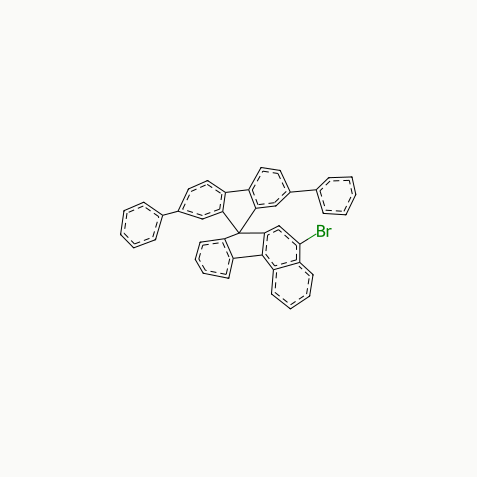 Brc1cc2c(c3ccccc13)-c1ccccc1C21c2cc(-c3ccccc3)ccc2-c2ccc(-c3ccccc3)cc21